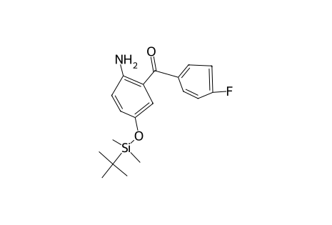 CC(C)(C)[Si](C)(C)Oc1ccc(N)c(C(=O)c2ccc(F)cc2)c1